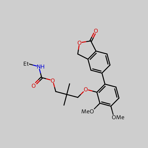 CCNC(=O)OCC(C)(C)COc1c(-c2ccc3c(c2)COC3=O)ccc(OC)c1OC